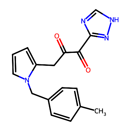 Cc1ccc(Cn2cccc2CC(=O)C(=O)c2nc[nH]n2)cc1